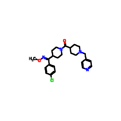 CO/N=C(\c1ccc(Cl)cc1)C1CCN(C(=O)C2CCN(Cc3ccncc3)CC2)CC1